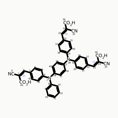 N#C/C(=C/c1ccc(N(c2ccccc2)c2ccc(N(c3ccc(/C=C(/C#N)C(=O)O)cc3)c3ccc(/C=C(\C#N)C(=O)O)cc3)cc2)cc1)C(=O)O